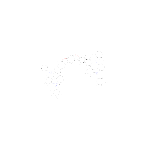 Cc1ccccc1N(c1ccc2cc3c(cc2c1)oc1cc2oc4cc5cc(N(c6ccccc6C)c6cccc7c6c6ccccc6n7-c6ccccc6)ccc5cc4c2cc13)c1cccc2c1c1ccccc1n2-c1ccccc1